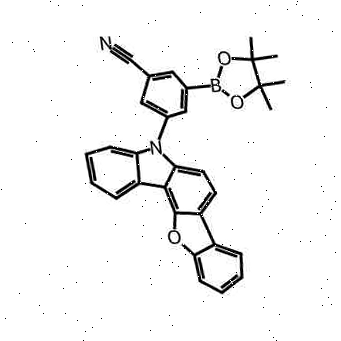 CC1(C)OB(c2cc(C#N)cc(-n3c4ccccc4c4c5oc6ccccc6c5ccc43)c2)OC1(C)C